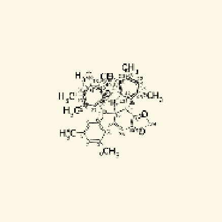 Cc1cc(C)cc(P(c2cc(C)cc(C)c2)C2(P(c3cc(C)cc(C)c3)c3cc(C)cc(C)c3)C=CC3=C(OCO3)C2c2cccc3c2OCO3)c1